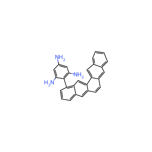 Nc1cc(N)c(-c2cccc3cc4ccc5cc6ccccc6cc5c4cc23)c(N)c1